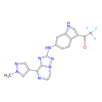 Cn1cc(-c2nccn3nc(Nc4ccc5c(C(=O)C(F)(F)F)c[nH]c5c4)nc23)cn1